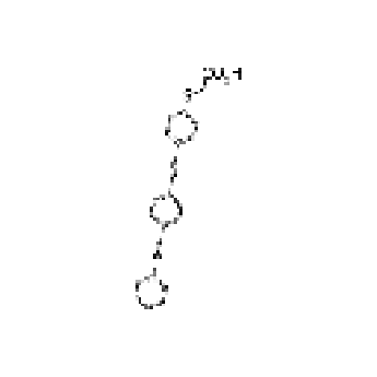 O=C(O)CSc1ccc(C#Cc2ccc(C#Cc3ccccc3)cc2)cc1